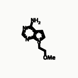 COCCn1ccc2c(N)ncnc21